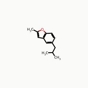 Cc1cc2cc(CC(C)C)[c]cc2o1